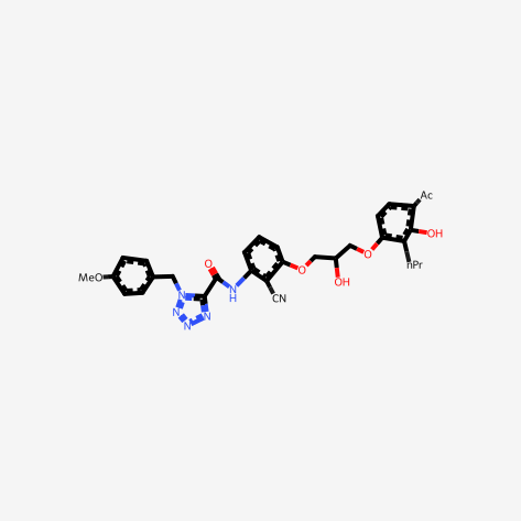 CCCc1c(OCC(O)COc2cccc(NC(=O)c3nnnn3Cc3ccc(OC)cc3)c2C#N)ccc(C(C)=O)c1O